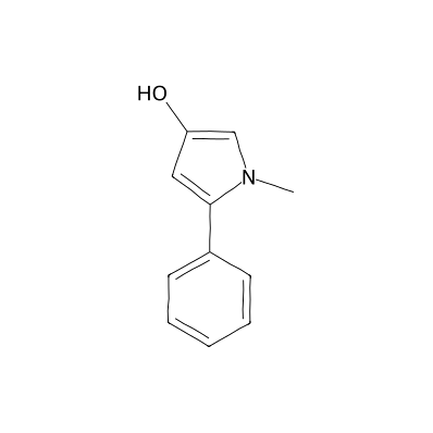 Cn1cc(O)cc1-c1ccccc1